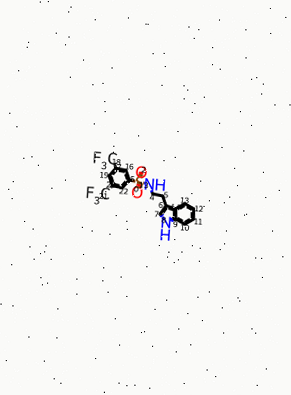 O=S(=O)(NCCc1c[nH]c2ccccc12)c1cc(C(F)(F)F)cc(C(F)(F)F)c1